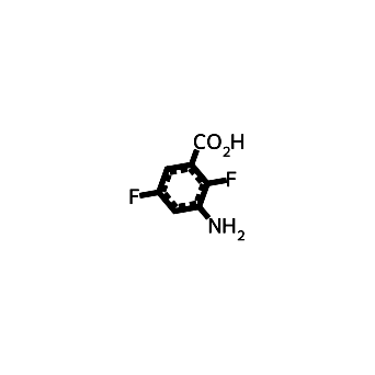 Nc1cc(F)cc(C(=O)O)c1F